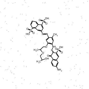 Cc1cc(N/N=C2/C(=O)c3ccc(N)cc3C=C2S(=O)(=O)O)c(OCC(C)OCC(C)O)cc1/N=N/c1cc(S(=O)(=O)O)c2cccc(S(=O)(=O)O)c2c1